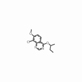 CCC(C)Oc1ncnc2c(Cl)c(OC)ccc12